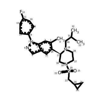 Cc1cc2c(cnn2-c2ccc(F)cc2)cc1[C@@H]1CN(S(=O)(=O)CC2CC2)CCN1CC(C)C